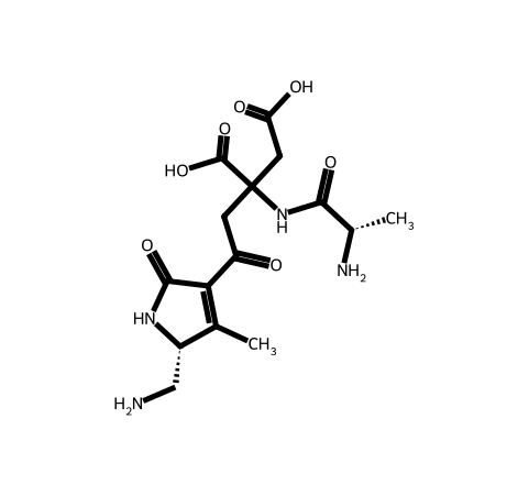 CC1=C(C(=O)CC(CC(=O)O)(NC(=O)[C@H](C)N)C(=O)O)C(=O)N[C@H]1CN